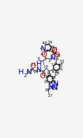 CC[C@@H]1CN(Cc2cc(C(CC(=O)NCC(N)=O)c3ccc4c(nnn4CC)c3C)ccc2C)S(=O)(=O)c2cccnc2O1